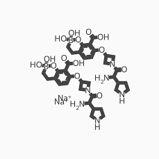 NC(C(=O)N1CC(Oc2ccc3c(c2C(=O)O)O[B-](O)(O)CC3)C1)C1CCNC1.NC(C(=O)N1CC(Oc2ccc3c(c2C(=O)O)O[B-](O)(O)CC3)C1)C1CCNC1.[Na+].[Na+]